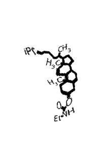 CCNC(=O)OC1CCC2(C)C(=CCC3C2CCC2(C)C(C(C)CCCC(C)C)CCC32)C1